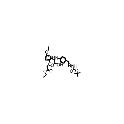 CCOC(=O)COc1ccc(OCC)cc1C(Nc1ccc(C=NNC(=O)OC(C)(C)C)cc1)C(=O)O